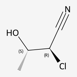 C[C@H](O)[C@H](Cl)C#N